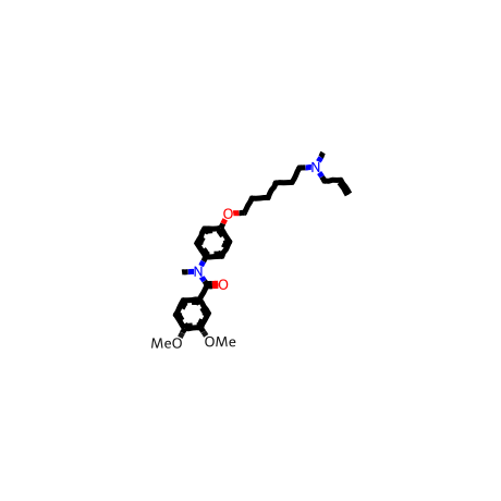 C=CCN(C)CCCCCCOc1ccc(N(C)C(=O)c2ccc(OC)c(OC)c2)cc1